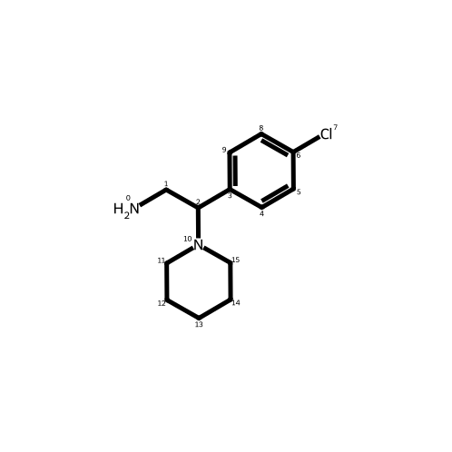 NCC(c1ccc(Cl)cc1)N1CCCCC1